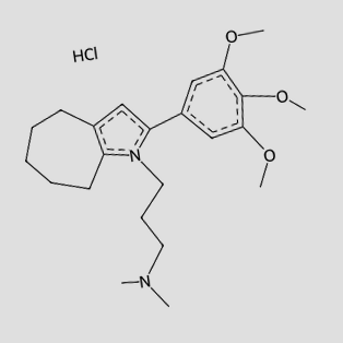 COc1cc(-c2cc3c(n2CCCN(C)C)CCCCC3)cc(OC)c1OC.Cl